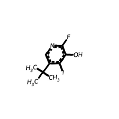 CC(C)(C)c1cnc(F)c(O)c1I